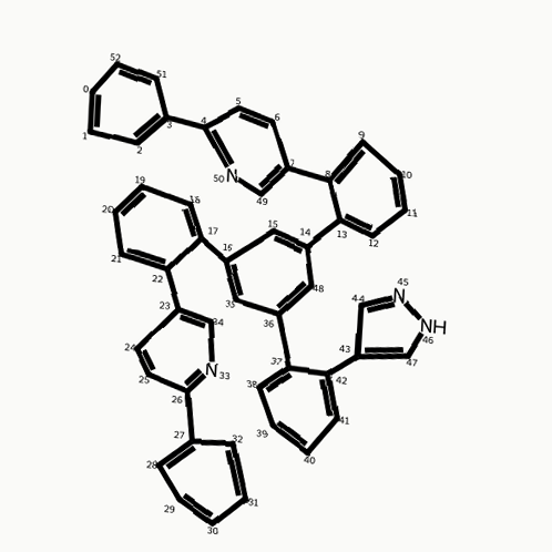 c1ccc(-c2ccc(-c3ccccc3-c3cc(-c4ccccc4-c4ccc(-c5ccccc5)nc4)cc(-c4ccccc4-c4cn[nH]c4)c3)cn2)cc1